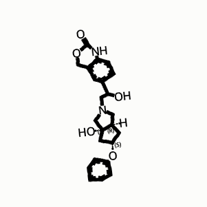 O=C1Nc2ccc(C(O)CN3C[C@H]4C[C@H](Oc5ccccc5)C[C@@]4(O)C3)cc2CO1